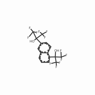 OC(c1ccc2c(C(O)(C(F)(F)F)C(F)(F)F)cccc2c1)(C(F)(F)F)C(F)(F)F